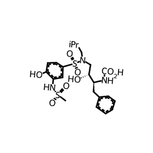 CC(C)CN(C[C@@H](O)[C@H](Cc1ccccc1)NC(=O)O)S(=O)(=O)c1ccc(O)c(NS(C)(=O)=O)c1